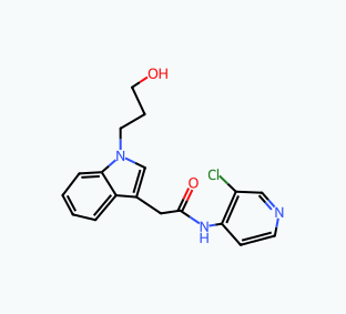 O=C(Cc1cn(CCCO)c2ccccc12)Nc1ccncc1Cl